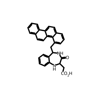 O=C(O)CC1Nc2ccccc2C(Cc2cccc3ccc4c5ccccc5ccc4c23)NC1=O